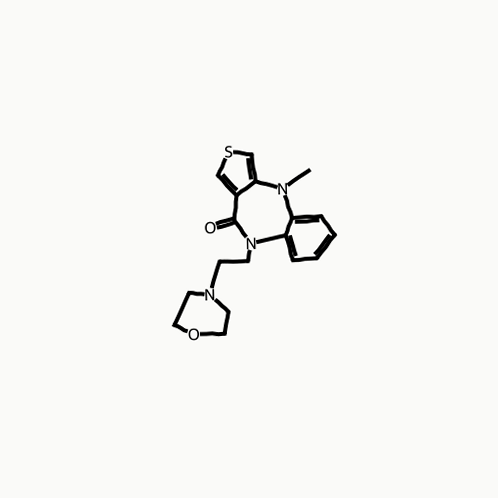 CN1c2cscc2C(=O)N(CCN2CCOCC2)c2ccccc21